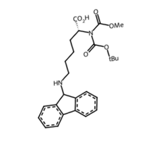 COC(=O)N(C(=O)OC(C)(C)C)[C@H](CCCCNC1c2ccccc2-c2ccccc21)C(=O)O